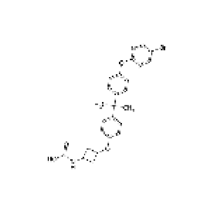 CC(C)(c1ccc(Oc2ncc(Br)cn2)cc1)c1ccc(OC2CC(NC(=O)O)C2)cc1